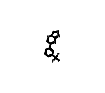 FC(F)(F)c1cccc(-c2cnn3cnnc3n2)c1